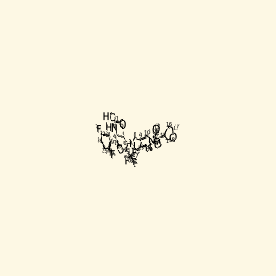 O=C(O)N[C@H]1C[C@@H](N2Cc3cn(S(=O)(=O)C4CCOC4)nc3C2)[C@@H](C(F)(F)F)O[C@@H]1c1cc(F)ccc1F